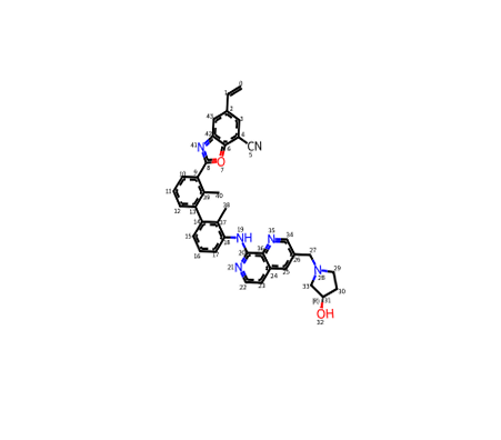 C=Cc1cc(C#N)c2oc(-c3cccc(-c4cccc(Nc5nccc6cc(CN7CC[C@@H](O)C7)cnc56)c4C)c3C)nc2c1